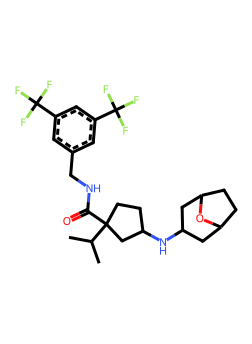 CC(C)C1(C(=O)NCc2cc(C(F)(F)F)cc(C(F)(F)F)c2)CCC(NC2CC3CCC(C2)O3)C1